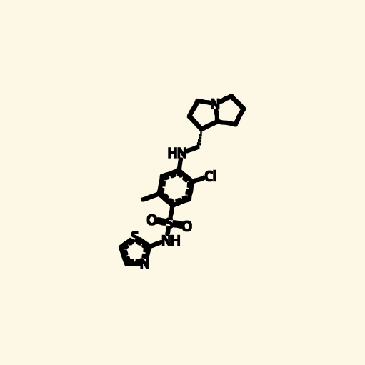 Cc1cc(NC[C@@H]2CCN3CCCC23)c(Cl)cc1S(=O)(=O)Nc1nccs1